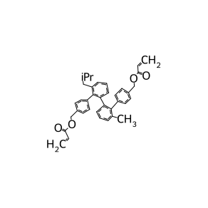 C=CC(=O)OCc1ccc(-c2c(C)cccc2-c2cccc(CC(C)C)c2-c2ccc(COC(=O)C=C)cc2)cc1